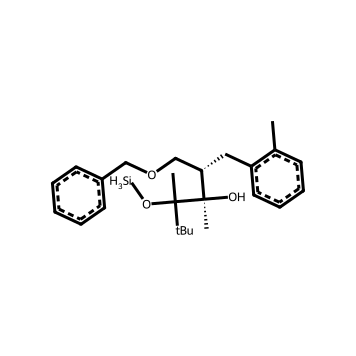 Cc1ccccc1C[C@@H](COCc1ccccc1)[C@@](C)(O)C(C)(O[SiH3])C(C)(C)C